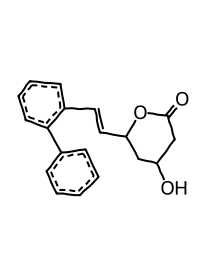 O=C1CC(O)CC(C=Cc2ccccc2-c2ccccc2)O1